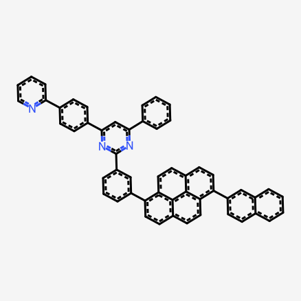 c1ccc(-c2cc(-c3ccc(-c4ccccn4)cc3)nc(-c3cccc(-c4ccc5ccc6c(-c7ccc8ccccc8c7)ccc7ccc4c5c76)c3)n2)cc1